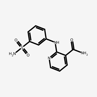 NC(=O)c1cccnc1Nc1cccc(S(N)(=O)=O)c1